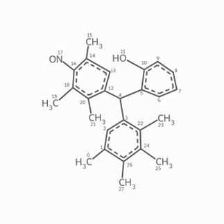 Cc1cc(C(c2ccccc2O)c2cc(C)c(N=O)c(C)c2C)c(C)c(C)c1C